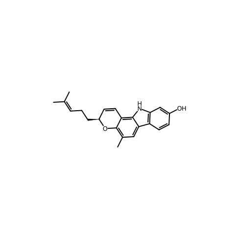 CC(C)=CCC[C@H]1C=Cc2c(c(C)cc3c2[nH]c2cc(O)ccc23)O1